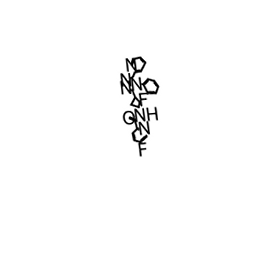 O=C(NC1CC(c2nnc(-c3ccccn3)n2-c2ccccc2F)C1)c1ccc(F)cn1